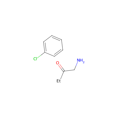 CCC(=O)CN.Clc1ccccc1